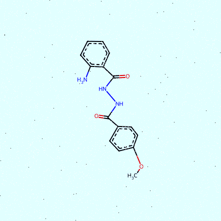 COc1ccc(C(=O)NNC(=O)c2ccccc2N)cc1